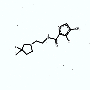 Cc1csc(C(=O)NCCN2CCC(F)(F)C2)c1Cl